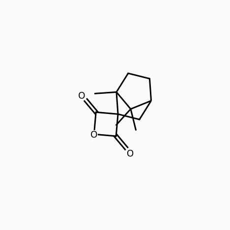 CC1(C)C2CCC1(C)C1(C2)C(=O)OC1=O